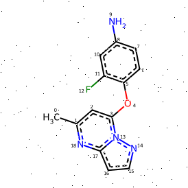 Cc1cc(Oc2ccc(N)cc2F)n2nccc2n1